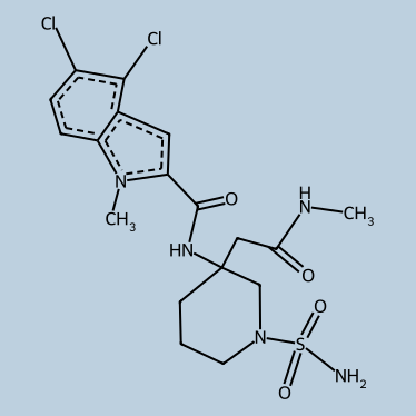 CNC(=O)CC1(NC(=O)c2cc3c(Cl)c(Cl)ccc3n2C)CCCN(S(N)(=O)=O)C1